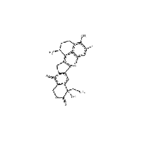 CC[C@@]1(O)C(=S)OCc2c1cc1n(c2=O)Cc2c-1nc1cc(F)c(C)c3c1c2[C@@H](C)CC3